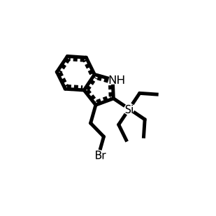 CC[Si](CC)(CC)c1[nH]c2ccccc2c1CCBr